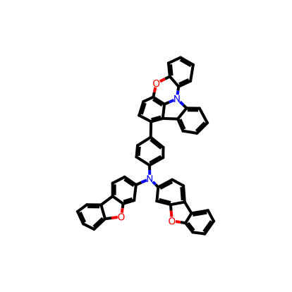 c1ccc2c(c1)Oc1ccc(-c3ccc(N(c4ccc5c(c4)oc4ccccc45)c4ccc5c(c4)oc4ccccc45)cc3)c3c4ccccc4n-2c13